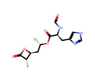 C[C@@H]1C(=O)O[C@H]1C[C@H](Cl)OC(=O)[C@H](Cc1c[nH]cn1)NC=O